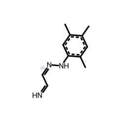 Cc1cc(C)c(N/N=C\C=N)cc1C